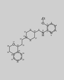 CCOc1cccnc1NCC1CCN(CCC2OCCc3ccccc32)CC1